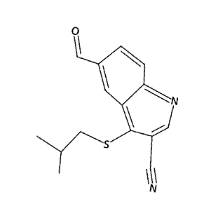 CC(C)CSc1c(C#N)cnc2ccc(C=O)cc12